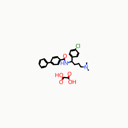 CN(C)CCCC(NC(=O)c1ccc(-c2ccccc2)cc1)c1ccc(Cl)cc1.O=C(O)C(=O)O